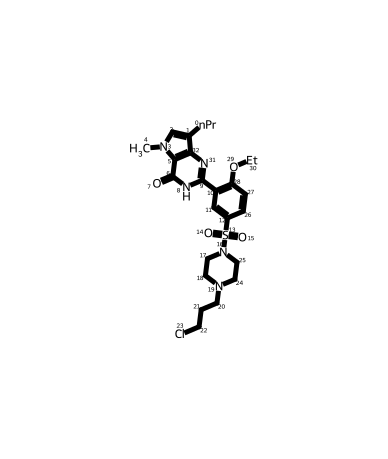 CCCc1cn(C)c2c(=O)[nH]c(-c3cc(S(=O)(=O)N4CCN(CCCCl)CC4)ccc3OCC)nc12